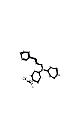 C(=C\c1ccccc1)/CP(C1CCCCC1)C1CCCCC1.[Cl][Ni][Cl]